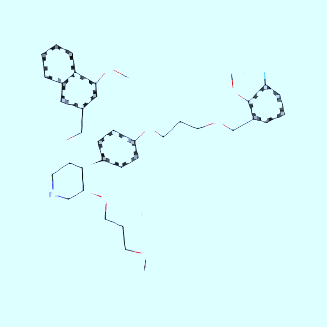 COC[C@@H](O)CO[C@H]1CNC[C@H](OCc2cc(OC)c3ccccc3c2)[C@H]1c1ccc(OCCCOCc2cccc(F)c2OC)cc1